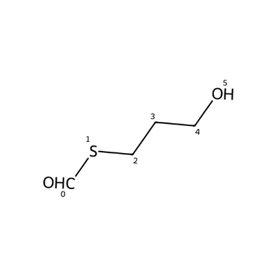 O=CSCCCO